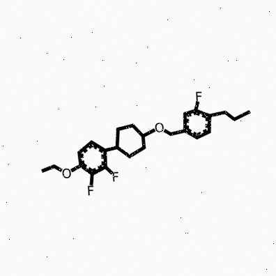 CCCc1ccc(COC2CCC(c3ccc(OCC)c(F)c3F)CC2)cc1F